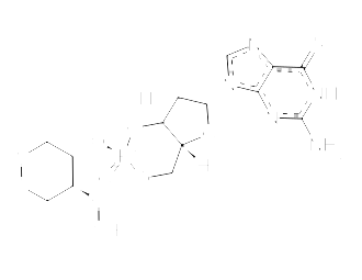 CO[C@H]1CSSC[C@@H]1O[P@]1(=O)OC[C@H]2O[C@@H](n3cnc4c(=S)[nH]c(N)nc43)C[C@@H]2O1